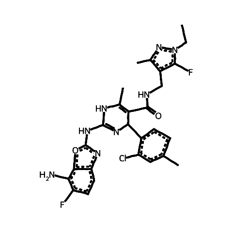 CCn1nc(C)c(CNC(=O)C2=C(C)NC(Nc3nc4ccc(F)c(N)c4o3)=NC2c2ccc(C)cc2Cl)c1F